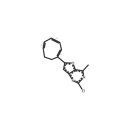 Cc1nc(Cl)nc2cc(/C3=C/C=C\C=C/CC3)oc12